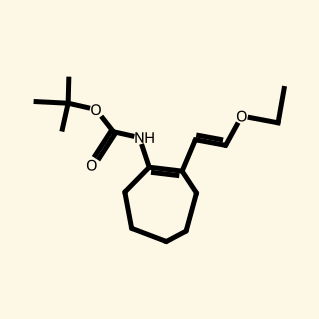 CCO/C=C/C1=C(NC(=O)OC(C)(C)C)CCCCC1